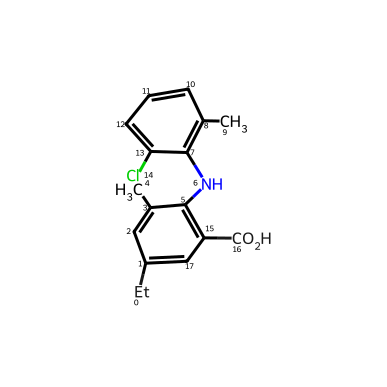 CCc1cc(C)c(Nc2c(C)cccc2Cl)c(C(=O)O)c1